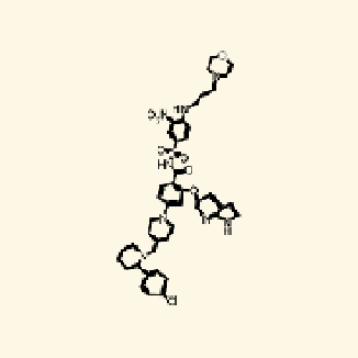 O=C(NS(=O)(=O)c1ccc(NCCCN2CCOCC2)c([N+](=O)[O-])c1)c1ccc(N2CCC(CN3CCCCC3c3ccc(Cl)cc3)CC2)cc1Oc1cnc2[nH]ccc2c1